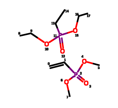 C=CP(=O)(OC)OC.CCOP(=O)(CC)OCC